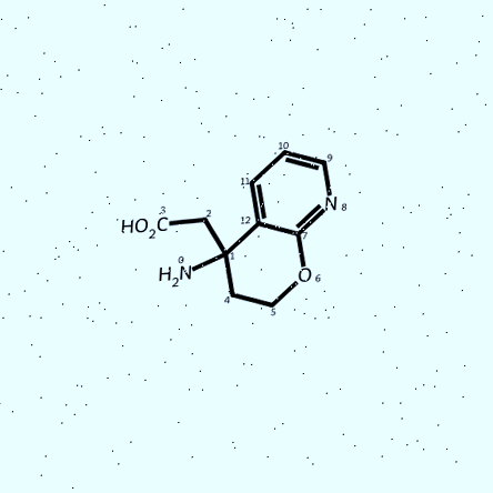 NC1(CC(=O)O)CCOc2ncccc21